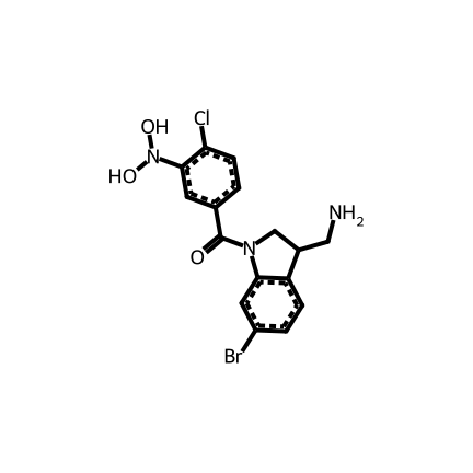 NCC1CN(C(=O)c2ccc(Cl)c(N(O)O)c2)c2cc(Br)ccc21